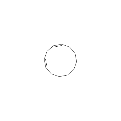 [CH]1C=CCC=CCCCCCC1